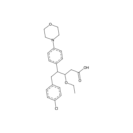 CCOC(CC(=O)O)C(Cc1ccc(Cl)cc1)c1ccc(N2CCOCC2)cc1